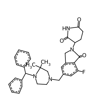 CC1(C)CN(Cc2cc(F)c3c(c2)CN(C2CCC(=O)NC2=O)C3=O)CCN1C(c1ccccc1)c1ccccc1